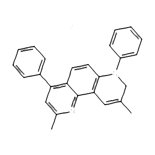 CC1=Cc2c(ccc3c(-c4ccccc4)cc(C)nc23)N(c2ccccc2)C1.[AlH3]